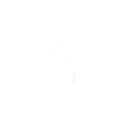 [CH2]CCCOC(C)C